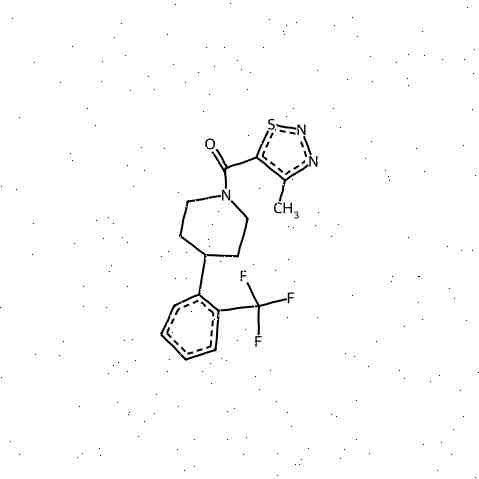 Cc1nnsc1C(=O)N1CCC(c2ccccc2C(F)(F)F)CC1